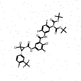 CC(C)(C)OC(=O)N(C(=O)OC(C)(C)C)c1cc(NC(=O)c2cc(NC(=O)[C@H]3[C@H](c4ccc(F)c(C(F)(F)F)c4)C3(Cl)Cl)cc(F)c2Cl)c(F)cc1F